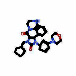 O=C(c1c(-c2ccccc2)n(-c2cccc(N3CCOCC3)c2)c(=O)n1CC1CCCCC1)N1CCNCC1